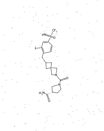 N=S(=O)(c1ccc(CC2CC3(C2)CN(C(=O)N2CC[C@H](C(N)=O)C2)C3)c(F)c1)C(F)(F)F